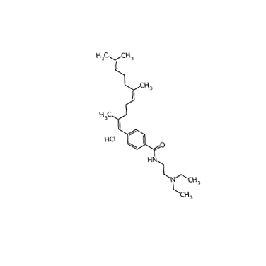 CCN(CC)CCNC(=O)c1ccc(C=C(C)CCC=C(C)CCC=C(C)C)cc1.Cl